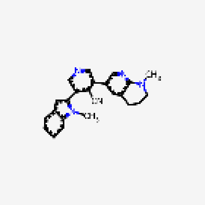 CN1CCCc2cc(-c3cncc(-c4cc5ccccc5n4C)c3C#N)cnc21